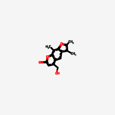 Cc1oc2c(C)c3oc(=O)cc(CO)c3cc2c1C